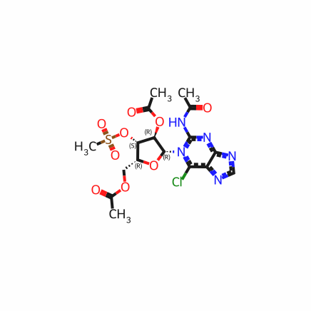 CC(=O)Nc1nc2ncnc-2c(Cl)n1[C@@H]1O[C@H](COC(C)=O)[C@H](OS(C)(=O)=O)[C@H]1OC(C)=O